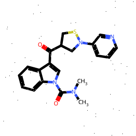 CN(C)C(=O)n1cc(C(=O)C2CSN(c3cccnc3)C2)c2ccccc21